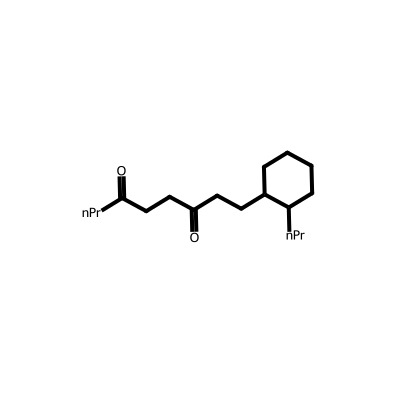 CCCC(=O)CCC(=O)CCC1CCCCC1CCC